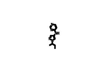 CCC(C)n1cc(Nc2ccncn2)cn1